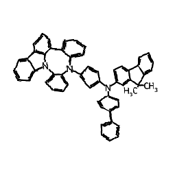 CC1(C)c2ccccc2-c2ccc(N(c3ccc(-c4ccccc4)cc3)c3ccc(-n4c5ccccc5c5cccc6c7ccccc7n(c7ccccc74)c56)cc3)cc21